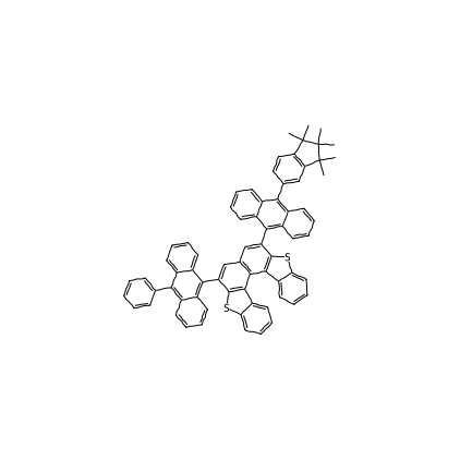 CC1(C)c2ccc(-c3c4ccccc4c(-c4cc5cc(-c6c7ccccc7c(-c7ccccc7)c7ccccc67)c6sc7ccccc7c6c5c5c4sc4ccccc45)c4ccccc34)cc2C(C)(C)C1(C)C